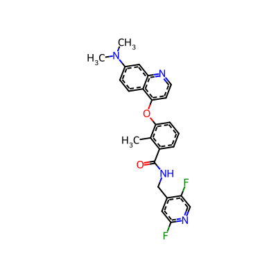 Cc1c(Oc2ccnc3cc(N(C)C)ccc23)cccc1C(=O)NCc1cc(F)ncc1F